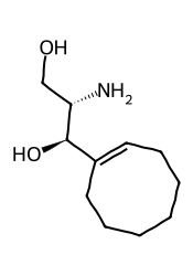 N[C@@H](CO)[C@H](O)/C1=C/CCCCCC1